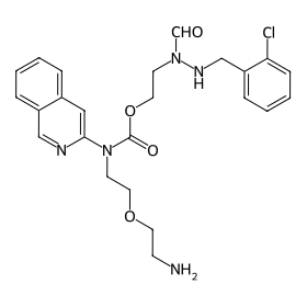 NCCOCCN(C(=O)OCCN(C=O)NCc1ccccc1Cl)c1cc2ccccc2cn1